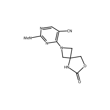 CNc1ncc(C#N)c(N2CC3(COC(=O)N3)C2)n1